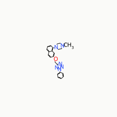 CN1CCN(c2cccc3ccc(OCc4nnn(-c5ccccc5)n4)cc23)CC1